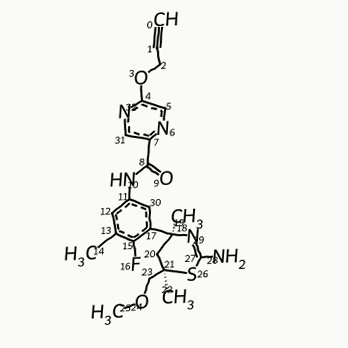 C#CCOc1cnc(C(=O)Nc2cc(C)c(F)c([C@]3(C)C[C@](C)(COC)SC(N)=N3)c2)cn1